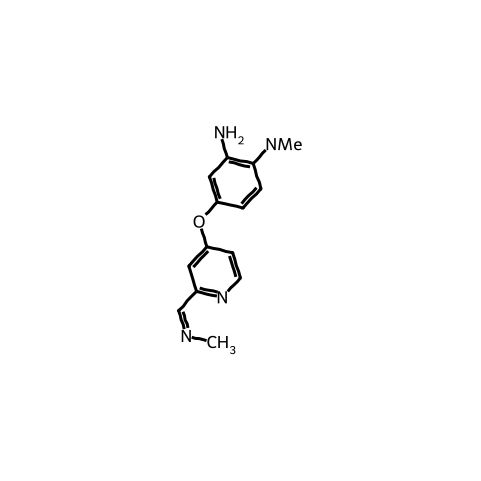 C/N=C\c1cc(Oc2ccc(NC)c(N)c2)ccn1